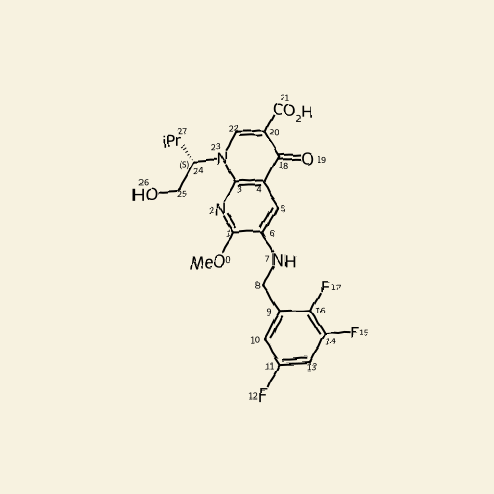 COc1nc2c(cc1NCc1cc(F)cc(F)c1F)c(=O)c(C(=O)O)cn2[C@H](CO)C(C)C